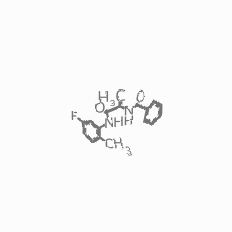 Cc1ccc(F)cc1NC(=O)C(C)NC(=O)c1ccccc1